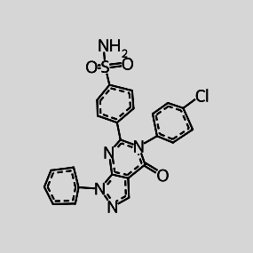 NS(=O)(=O)c1ccc(-c2nc3c(cnn3-c3ccccc3)c(=O)n2-c2ccc(Cl)cc2)cc1